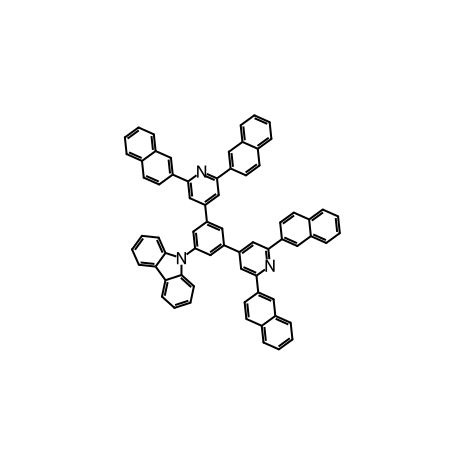 c1ccc2cc(-c3cc(-c4cc(-c5cc(-c6ccc7ccccc7c6)nc(-c6ccc7ccccc7c6)c5)cc(-n5c6ccccc6c6ccccc65)c4)cc(-c4ccc5ccccc5c4)n3)ccc2c1